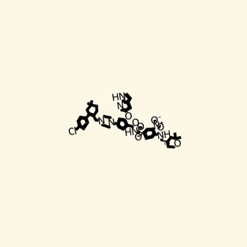 CC1(C)CCC(CN2CCN(c3ccc(C(=O)NS(=O)(=O)c4ccc(NC[C@@H]5CCOC(C)(C)C5)c([N+](=O)[O-])c4)c(Oc4cnc5[nH]ccc5c4)c3)CC2)=C(c2ccc(Cl)cc2)C1